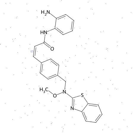 CON(Cc1ccc(/C=C\C(=O)Nc2ccccc2N)cc1)c1nc2ccccc2s1